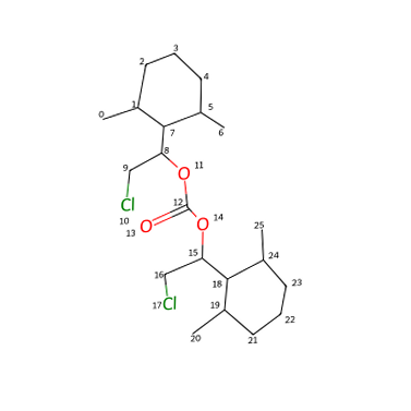 CC1CCCC(C)C1C(CCl)OC(=O)OC(CCl)C1C(C)CCCC1C